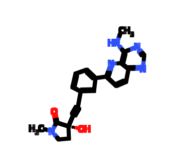 CNc1ncnc2ccc(-c3cccc(C#C[C@@]4(O)CCN(C)C4=O)c3)nc12